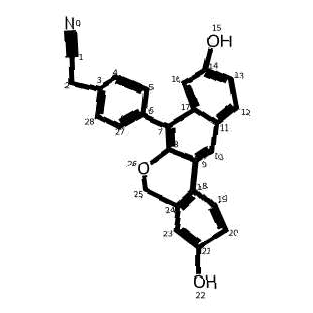 N#CCc1ccc(-c2c3c(cc4ccc(O)cc24)-c2ccc(O)cc2CO3)cc1